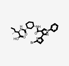 CC[C@@H](C)[C@@H](NC(=O)[C@@H]1CCC[C@H](NC(=O)c2cn(-c3ccccc3)nc2-c2ccc(Br)s2)C1)C(=O)O